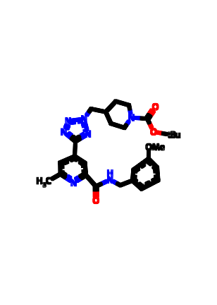 COc1cccc(CNC(=O)c2cc(-c3nnn(CC4CCN(C(=O)OC(C)(C)C)CC4)n3)cc(C)n2)c1